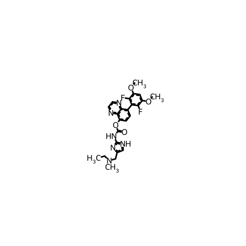 CCN(C)Cc1c[nH]c(NC(=O)Oc2ccc(-c3c(F)c(OC)cc(OC)c3F)c3nccnc23)n1